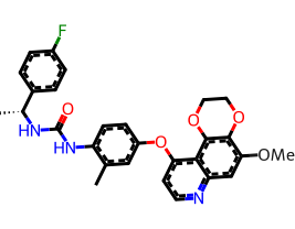 COc1cc2nccc(Oc3ccc(NC(=O)N[C@H](C)c4ccc(F)cc4)c(C)c3)c2c2c1OCCO2